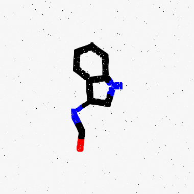 O=C=Nc1c[nH]c2c[c]ccc12